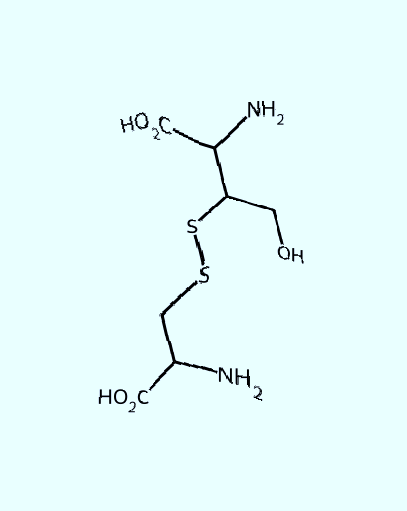 NC(CSSC(CO)C(N)C(=O)O)C(=O)O